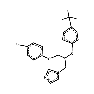 CC(C)(C)c1ccc(SC(COc2ccc(Br)cc2)Cn2ccnc2)cc1